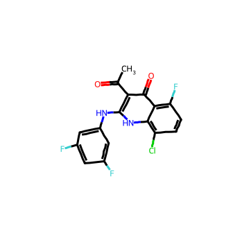 CC(=O)c1c(Nc2cc(F)cc(F)c2)[nH]c2c(Cl)ccc(F)c2c1=O